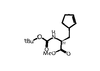 COC(=O)[C@H](CC1C=CCC1)NC(=O)OC(C)(C)C